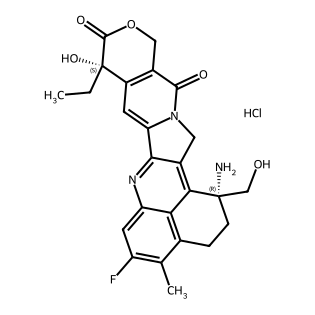 CC[C@@]1(O)C(=O)OCc2c1cc1n(c2=O)Cc2c-1nc1cc(F)c(C)c3c1c2[C@@](N)(CO)CC3.Cl